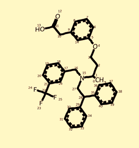 CC(CCOc1cccc(CC(=O)O)c1)N(Cc1cccc(C(F)(F)F)c1)CC(c1ccccc1)c1ccccc1